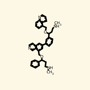 CNCCC(OCc1cc(-c2cccc(C(CCNC)OCc3cccc4ncccc34)c2)cc2ccncc12)c1ccccc1